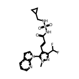 Cn1nc(C(F)F)c(C=CC(=O)NS(=O)(=O)NCC2CC2)c1-n1ccc2cccnc21